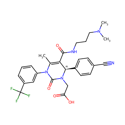 CC1=C(C(=O)NCCCN(C)C)[C@@H](c2ccc(C#N)cc2)N(CC(=O)O)C(=O)N1c1cccc(C(F)(F)F)c1